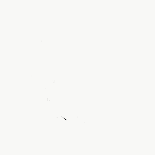 COc1ccc(C(=O)NC[C@H]2CCN(C(=O)Nc3ccc(-n4ccccc4=O)cc3F)C2)cc1